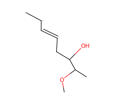 C[CH]C=CCC(O)C(C)OC